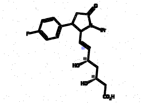 CC(C)N1C(=O)CC(c2ccc(F)cc2)C1/C=C/[C@@H](O)C[C@@H](O)CC(=O)O